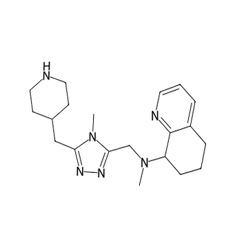 CN(Cc1nnc(CC2CCNCC2)n1C)C1CCCc2cccnc21